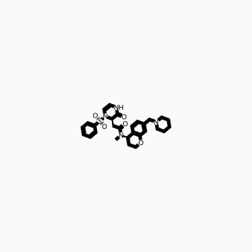 CN(C(=O)C[C@@H]1C(=O)NC=CN1S(=O)(=O)c1ccccc1)[C@@H]1CCOc2cc(CN3CCCCC3)ccc21